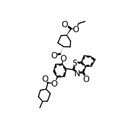 CCOC(=O)[C@H]1CC[C@H](C(=O)Oc2ccc(OC(=O)C3CCC(C)CC3)cc2-c2nc(=O)c3ccccc3s2)CC1